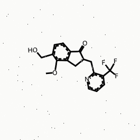 COc1c(CO)ccc2c1CC(Cc1ncccc1C(F)(F)F)C2=O